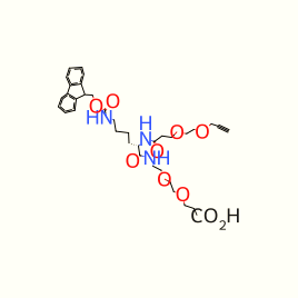 C#CCOCCOCCC(=O)N[C@@H](CCCCNC(=O)OCC1c2ccccc2-c2ccccc21)C(=O)NCCOCCOCCC(=O)O